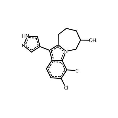 OC1CCCc2c(-c3cn[nH]c3)c3ccc(Cl)c(Cl)c3n2C1